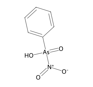 O=[N+]([O-])[As](=O)(O)c1ccccc1